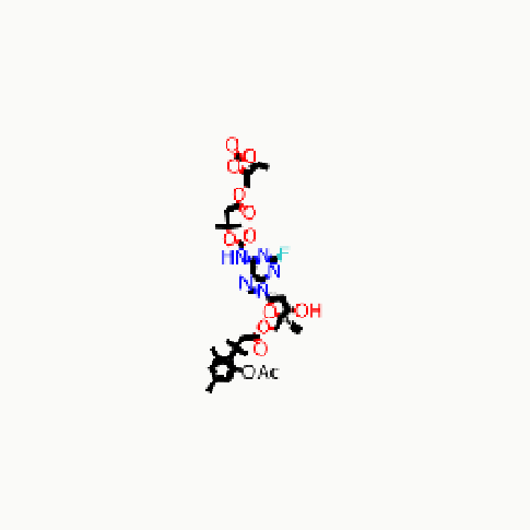 C#C[C@]1(COC(=O)CC(C)(C)c2c(C)cc(C)cc2OC(C)=O)O[C@@H](n2cnc3c(NC(=O)OC(C)(C)CC(=O)OCc4oc(=O)oc4C)nc(F)nc32)C[C@@H]1O